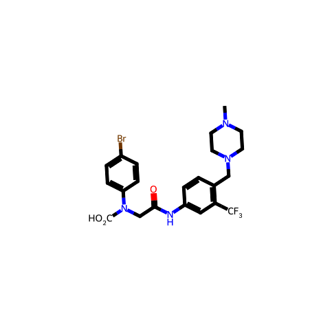 CN1CCN(Cc2ccc(NC(=O)CN(C(=O)O)c3ccc(Br)cc3)cc2C(F)(F)F)CC1